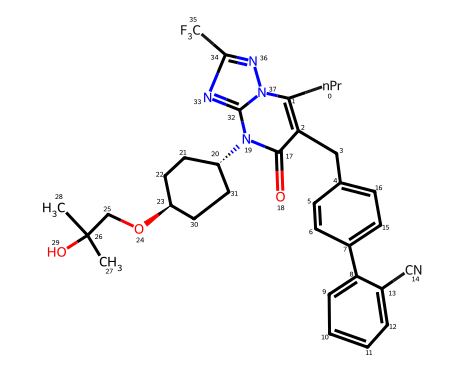 CCCc1c(Cc2ccc(-c3ccccc3C#N)cc2)c(=O)n([C@H]2CC[C@H](OCC(C)(C)O)CC2)c2nc(C(F)(F)F)nn12